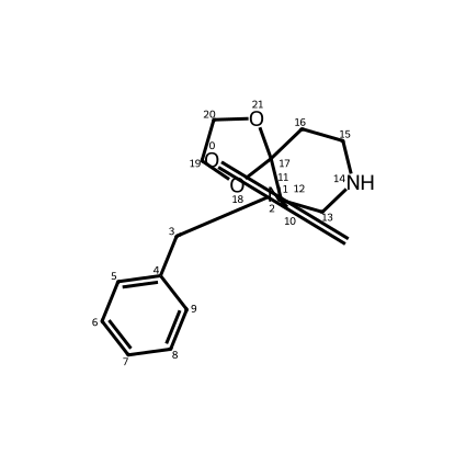 O=C1N(Cc2ccccc2)CCC12CNCCC21OCCO1